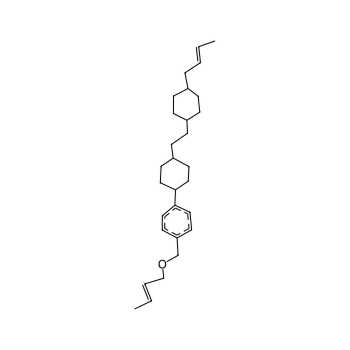 CC=CCOCc1ccc(C2CCC(CCC3CCC(C/C=C/C)CC3)CC2)cc1